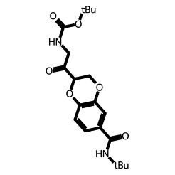 CC(C)(C)NC(=O)c1ccc2c(c1)OCC(C(=O)CNC(=O)OC(C)(C)C)O2